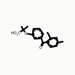 Cc1ccc(C(=O)c2cccc(OC(C)(C)C(=O)O)c2)c(C)c1